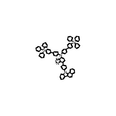 c1ccc([Si](c2ccccc2)(c2ccccc2)c2ccc(-c3ccc(N(c4ccc(-c5ccc([Si](c6ccccc6)(c6ccccc6)c6ccccc6)cc5)cc4)c4ccc(-c5ccc(-n6c7ccccc7c7ccc8ccccc8c76)cc5)c5nsnc45)cc3)cc2)cc1